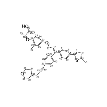 Cc1ccc(-c2ccc(C(=CCOc3ccc(OC(C)C(=O)O)c(C)c3)c3ccc(C#CCN4CCOCC4)cc3)cc2)s1